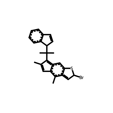 CC1=Cc2c(C)c3c(cc2=C1C(C)(C)C1C=Cc2ccccc21)SC(Br)C=3